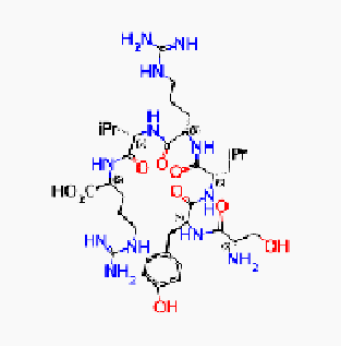 CC(C)C[C@H](NC(=O)[C@H](Cc1ccc(O)cc1)NC(=O)[C@@H](N)CO)C(=O)N[C@@H](CCCNC(=N)N)C(=O)N[C@H](C(=O)N[C@@H](CCCNC(=N)N)C(=O)O)C(C)C